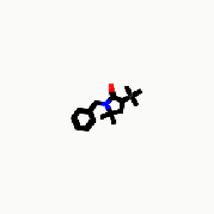 CC1(C)C[CH]([Ge]([CH3])([CH3])[CH3])C(=O)N1Cc1ccccc1